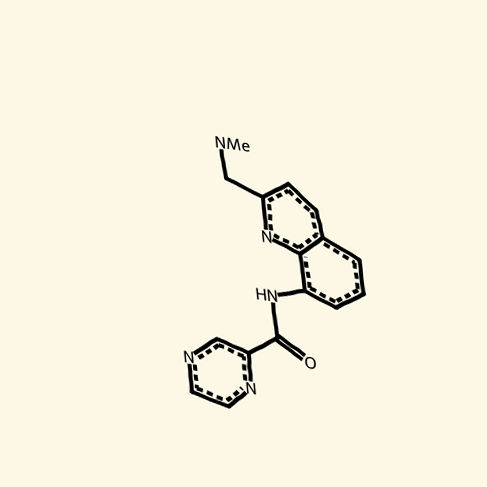 CNCc1ccc2cccc(NC(=O)c3cnccn3)c2n1